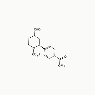 COC(=O)c1ccc([C@@H]2CC(C=O)CCN2C(=O)O)cc1